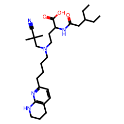 CCC(CC)CC(=O)NC(CCN(CCCCc1ccc2c(n1)NCCC2)CC(C)(C)C#N)C(=O)O